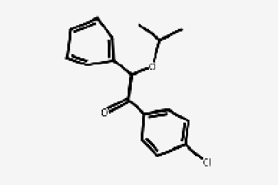 CC(C)OC(C(=O)c1ccc(Cl)cc1)c1ccccc1